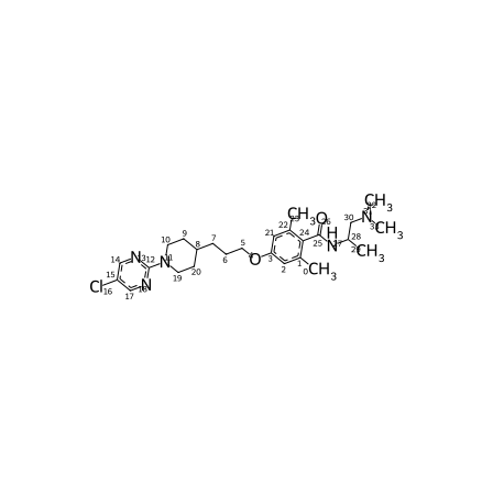 Cc1cc(OCCCC2CCN(c3ncc(Cl)cn3)CC2)cc(C)c1C(=O)NC(C)CN(C)C